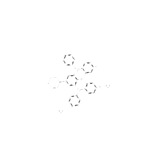 COc1ccc(N2c3ccc(OC)cc3B3c4cc(F)ccc4N(c4ccc(F)cc4)c4cc(C5CCCCC5)cc2c43)cc1